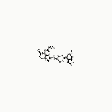 COC(=O)ON1C(=O)CCc2ccc(CCN3CCN(c4cc(F)cc5sccc45)CC3)cc21